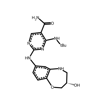 CC(C)(C)Nc1nc(Nc2ccc3c(c2)NC[C@H](O)CO3)ncc1C(N)=O